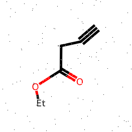 C#C[CH]C(=O)OCC